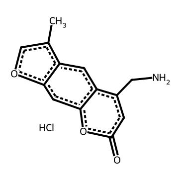 Cc1coc2cc3oc(=O)cc(CN)c3cc12.Cl